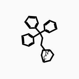 c1ccc(C(CCN2CC3CCC2CC3)(c2ccccc2)c2ccccc2)cc1